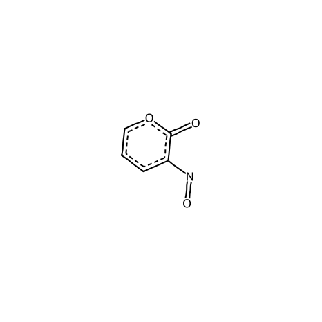 O=Nc1cccoc1=O